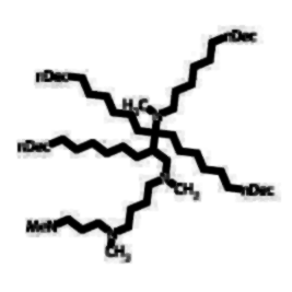 CCCCCCCCCCCCCCCCC(CN(C)CCCCN(C)CCCNC)C(CCCCCCCCCCCCCCCC)(CCCCCCCCCCCCCCCC)N(C)CCCCCCCCCCCCCCCC